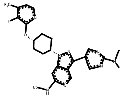 CCNc1cc2c(cn1)c(-c1cnc(N(C)C)nc1)nn2[C@H]1CC[C@@H](Oc2nccc(C(F)(F)F)c2F)CC1